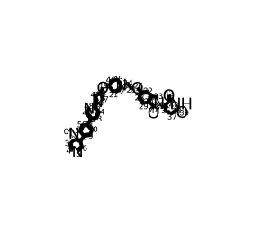 Cn1c2ccncc2c2ccc(-c3ccc(N4CC(OC5CCN(CCOc6ccc7c(c6)CN(C6CCC(=O)NC6=O)C7=O)CC5)C4)nc3)cc21